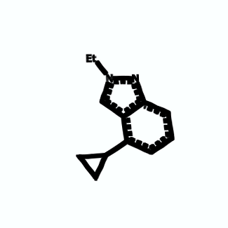 CCn1cc2c(C3[CH]C3)cccc2n1